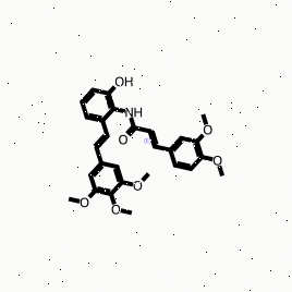 COc1ccc(/C=C/C(=O)Nc2c(O)cccc2C=Cc2cc(OC)c(OC)c(OC)c2)cc1OC